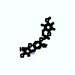 COc1c(C)c(C)c2c(c1C)CCC(C)(COc1ccc(/C=C3/SC(=O)NC3=O)cc1Br)O2